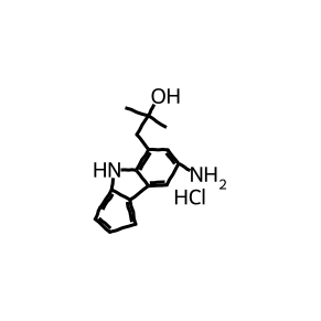 CC(C)(O)Cc1cc(N)cc2c1[nH]c1ccccc12.Cl